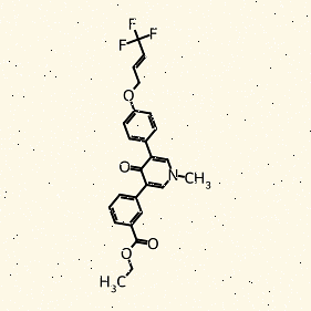 CCOC(=O)c1cccc(-c2cn(C)cc(-c3ccc(OCC=CC(F)(F)F)cc3)c2=O)c1